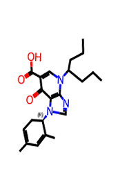 CCCC(CCC)n1cc(C(=O)O)c(=O)c2c1ncn2[C@@H]1CC=C(C)C=C1C